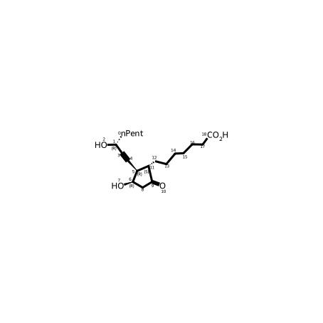 CCCCC[C@@H](O)C#C[C@@H]1[C@H](O)CC(=O)[C@H]1CCCCCCC(=O)O